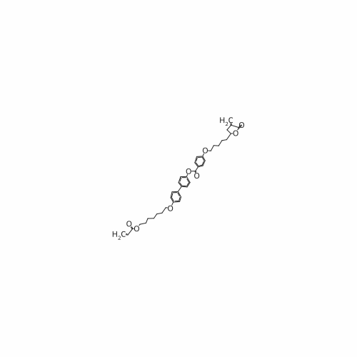 C=CC(=O)OCCCCCCCOc1ccc(-c2ccc(OC(=O)c3ccc(OCCCCCC4CC(=C)C(=O)O4)cc3)cc2)cc1